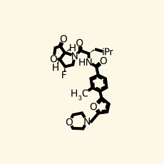 Cc1cc(C(=O)N[C@@H](CC(C)C)C(=O)N2C[C@H](F)[C@H]3OCC(=O)[C@H]32)ccc1-c1ccc(CN2CCOCC2)o1